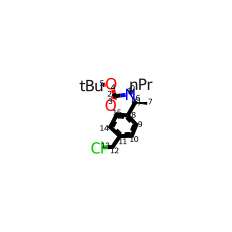 CCCN(C(=O)OC(C)(C)C)[C@@H](C)c1ccc(CCl)cc1